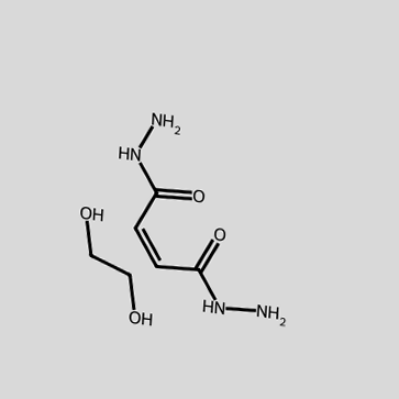 NNC(=O)/C=C\C(=O)NN.OCCO